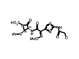 CON=C(C(=O)N[C@H]1C(=O)N(S(=O)(=O)O)[C@@H]1SC(C)C)c1csc(NC(=O)CCl)n1